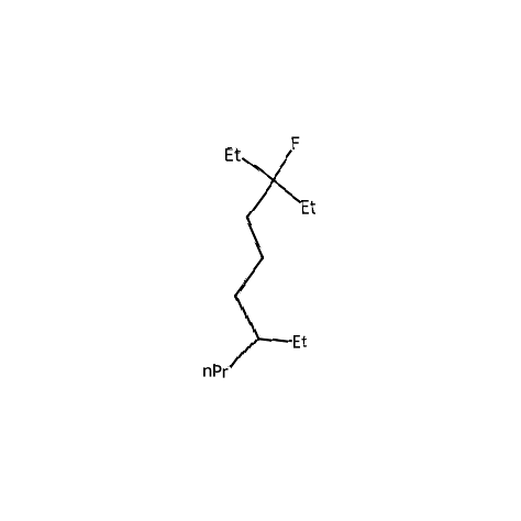 CCCC(CC)CCCC(F)(CC)CC